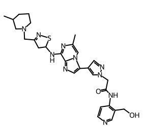 Cc1cn2c(-c3cnn(CC(=O)Nc4ccncc4CO)c3)cnc2c(NC2CC(CN3CCCC(C)C3)=NS2)n1